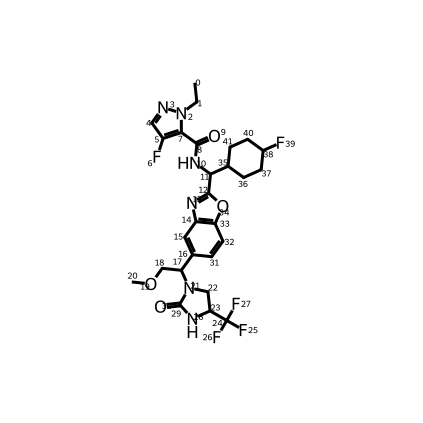 CCn1ncc(F)c1C(=O)NC(c1nc2cc(C(COC)N3CC(C(F)(F)F)NC3=O)ccc2o1)C1CCC(F)CC1